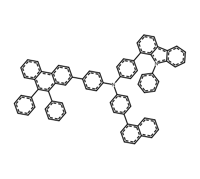 c1ccc(-c2c(-c3ccccc3)c3cc(-c4ccc(N(c5ccc(-c6cccc7ccccc67)cc5)c5ccc(-c6cccc7c8ccccc8n(-c8ccccc8)c67)cc5)cc4)ccc3c3ccccc23)cc1